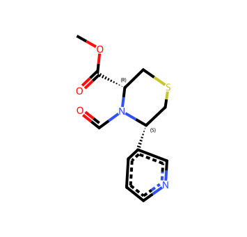 COC(=O)[C@@H]1CSC[C@H](c2cccnc2)N1C=O